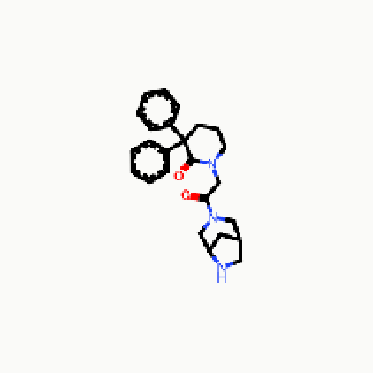 O=C(CN1CCCC(c2ccccc2)(c2ccccc2)C1=O)N1CC2CNC(C2)C1